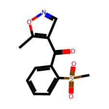 Cc1oncc1C(=O)c1ccccc1S(C)(=O)=O